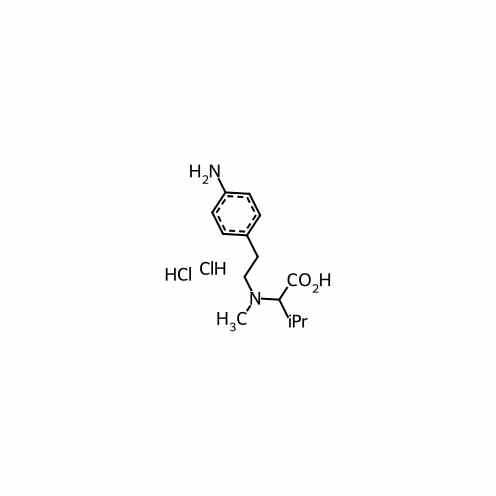 CC(C)C(C(=O)O)N(C)CCc1ccc(N)cc1.Cl.Cl